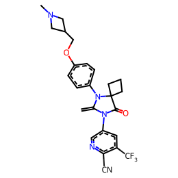 C=C1N(c2cnc(C#N)c(C(F)(F)F)c2)C(=O)C2(CCC2)N1c1ccc(OCC2CN(C)C2)cc1